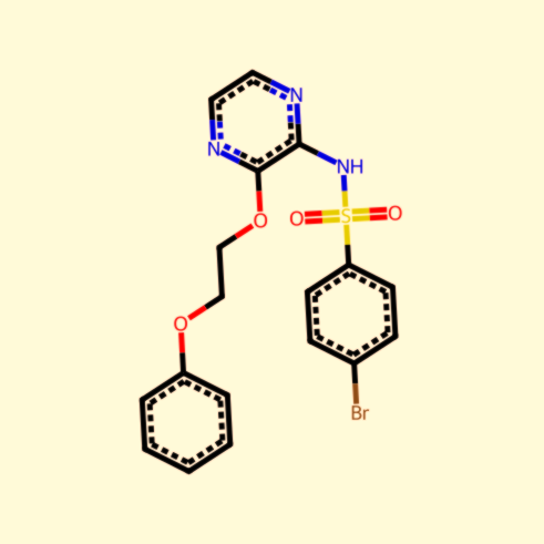 O=S(=O)(Nc1nccnc1OCCOc1ccccc1)c1ccc(Br)cc1